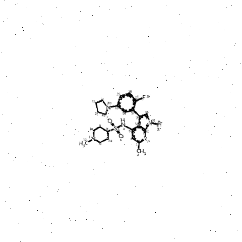 Cc1cc(NS(=O)(=O)C2CCN(C)CC2)c2c(-c3cc(N4CCCC4)ccc3F)cn(C(C)C)c2n1